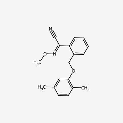 CON=C(C#N)c1ccccc1COc1cc(C)ccc1C